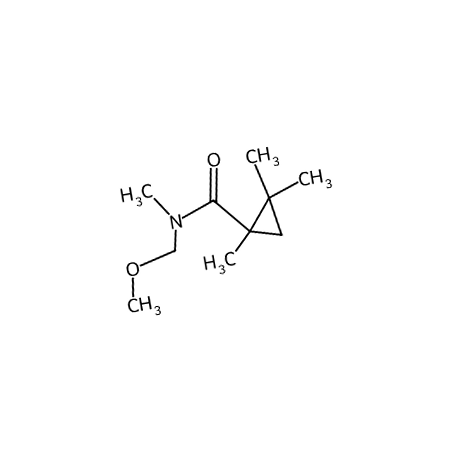 COCN(C)C(=O)C1(C)CC1(C)C